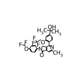 Cc1cc2c(c(-c3ccc(C(C)(C)O)cc3OCC(F)(F)F)n1)CN(c1ccc(OC(F)F)cc1)C2=O